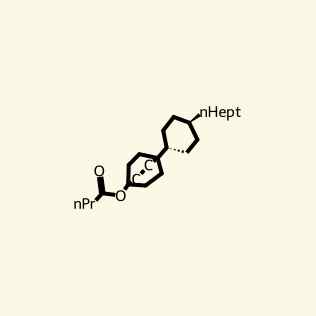 CCCCCCC[C@H]1CC[C@H](C23CCC(OC(=O)CCC)(CC2)CC3)CC1